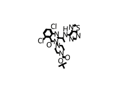 CC(Nc1ncnc2scnc12)c1nc2c(Cl)ccc(Cl)c2c(=O)n1N1CCN(C(=O)OC(C)(C)C)CC1